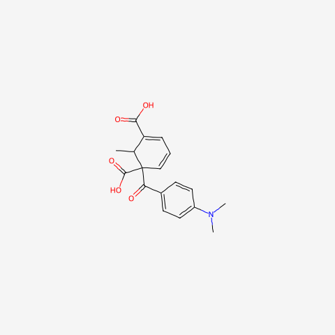 CC1C(C(=O)O)=CC=CC1(C(=O)O)C(=O)c1ccc(N(C)C)cc1